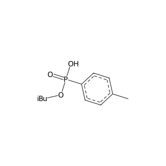 CCC(C)OP(=O)(O)c1ccc(C)cc1